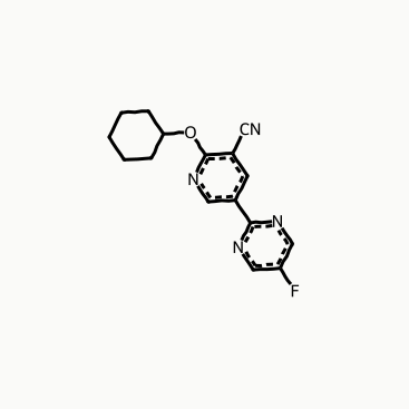 N#Cc1cc(-c2ncc(F)cn2)cnc1OC1CCCCC1